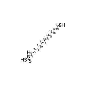 S=C(S)NCCCCCCCCCCCCCCCCCCS